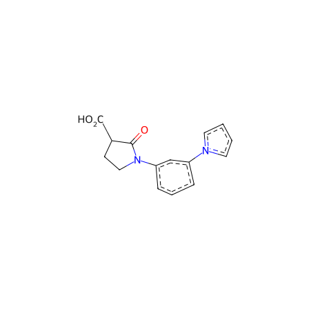 O=C(O)C1CCN(c2cccc(-n3cccc3)c2)C1=O